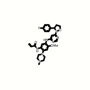 C=CC(=O)Nc1cc(Nc2cc(N3OCCC3c3ccc(F)cc3)ncn2)c(OC)cc1N1CCN(C)CC1